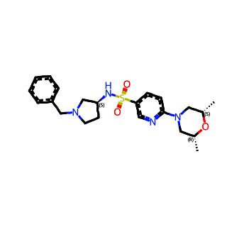 C[C@@H]1CN(c2ccc(S(=O)(=O)N[C@H]3CCN(Cc4ccccc4)C3)cn2)C[C@H](C)O1